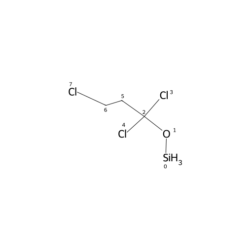 [SiH3]OC(Cl)(Cl)CCCl